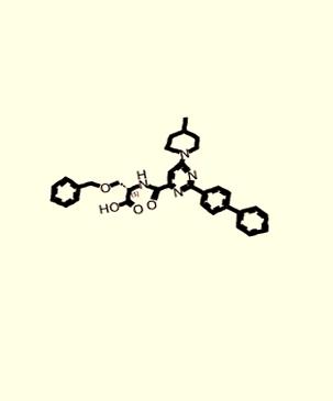 CC1CCN(c2cc(C(=O)N[C@@H](COCc3ccccc3)C(=O)O)nc(-c3ccc(-c4ccccc4)cc3)n2)CC1